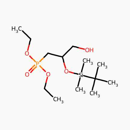 CCOP(=O)(CC(CO)O[Si](C)(C)C(C)(C)C)OCC